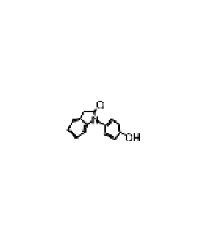 O=C1Cc2ccccc2N1c1ccc(O)cc1